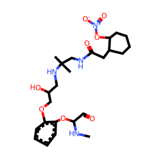 CNC(C=O)Oc1ccccc1OCC(O)CNC(C)(C)CNC(=O)CC1CCCCC1O[N+](=O)[O-]